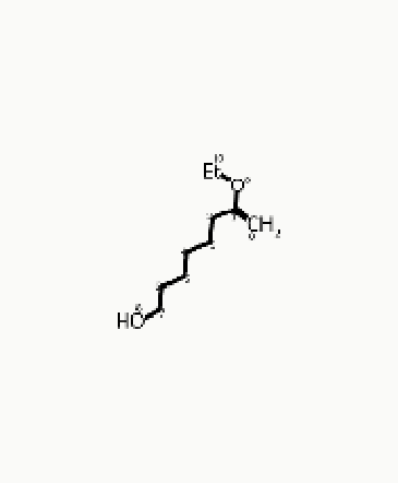 C=C(CCCCCCO)OCC